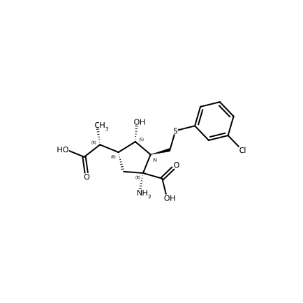 C[C@@H](C(=O)O)[C@H]1C[C@](N)(C(=O)O)[C@H](CSc2cccc(Cl)c2)[C@H]1O